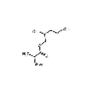 CCCCCCCCCCCCC(CCCCCCCCCC)COC(=O)C(C)CCCCCCCCC